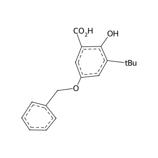 CC(C)(C)c1cc(OCc2ccccc2)cc(C(=O)O)c1O